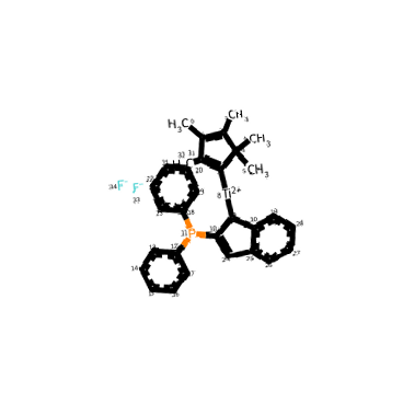 CC1=C(C)C(C)(C)[C]([Ti+2][CH]2C(P(c3ccccc3)c3ccccc3)=Cc3ccccc32)=C1C.[F-].[F-]